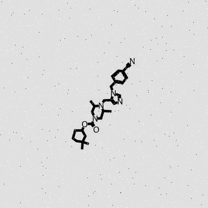 CC1CN(C(=O)OC2CCCC(C)(C)C2)CC(C)N1Cc1cncn1Cc1ccc(C#N)cc1